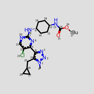 Cn1nnc(-c2nc(N[C@H]3CC[C@H](NC(=O)OC(C)(C)C)CC3)ncc2Cl)c1CC1CC1